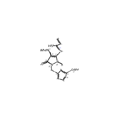 C=C/C(S)=N/c1c(NC)c(=O)n(Cc2cccc(OC)c2)n1C